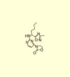 CCCCC(Nc1nccc(N2CCOC2=O)n1)c1nc(C)no1